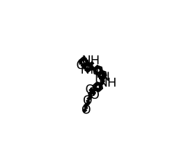 COCCOCCS(=O)(=O)c1ccc(Nc2ncc3c(n2)CN(c2cnc4c(c2C)NCCO4)CC3)cc1